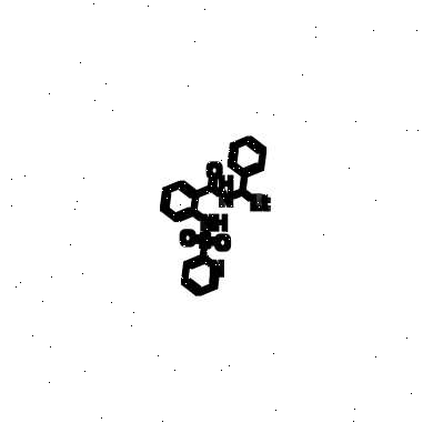 CCC(NC(=O)c1ccccc1NS(=O)(=O)c1ccccn1)c1ccccc1